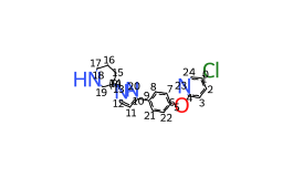 Clc1ccc(Oc2ccc(-c3ccn([C@@H]4CCCNC4)n3)cc2)nc1